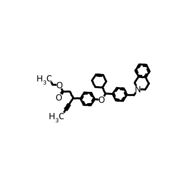 CC#CC(CC(=O)OCC)c1ccc(OC(c2ccc(CN3CCc4ccccc4C3)cc2)C2CC=CCC2)cc1